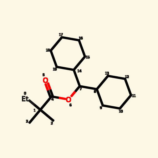 CCC(C)(C)C(=O)OC(C1CCCCC1)C1CCCCC1